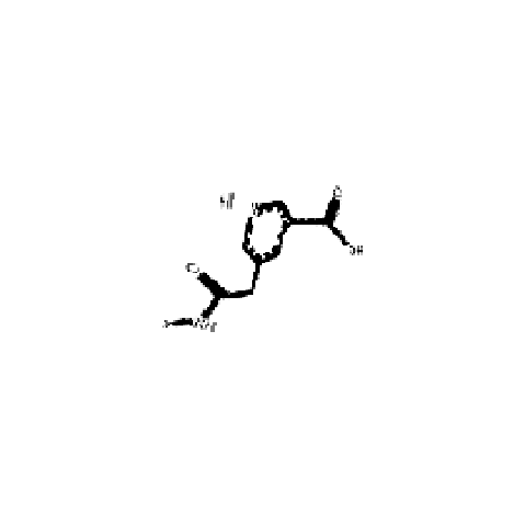 I.O=C(Cc1cncc(C(=O)O)c1)NBr